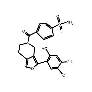 NS(=O)(=O)c1ccc(C(=O)N2CCc3noc(-c4cc(Cl)c(O)cc4O)c3C2)cc1